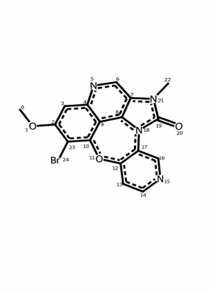 COc1cc2ncc3c4c2c(oc2ccncc2n4c(=O)n3C)c1Br